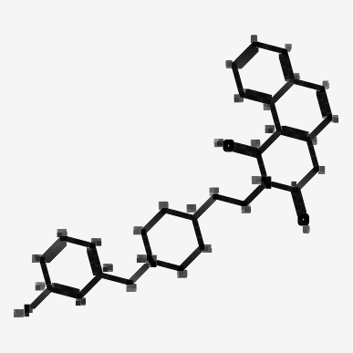 O=C1Cc2ccc3ccccc3c2C(=O)N1CCC1CCN(Cc2cccc(F)c2)CC1